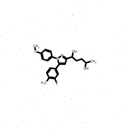 COc1ccc(-n2nc(C(O)CCC(C)O)cc2-c2ccc(C)c(F)c2)cc1